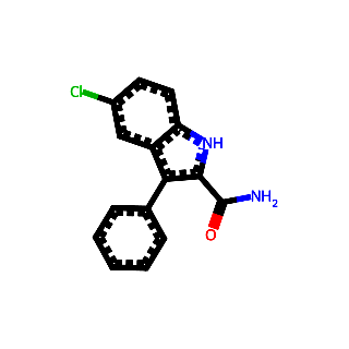 NC(=O)c1[nH]c2ccc(Cl)cc2c1-c1ccccc1